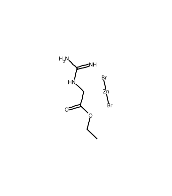 CCOC(=O)CNC(=N)N.[Br][Zn][Br]